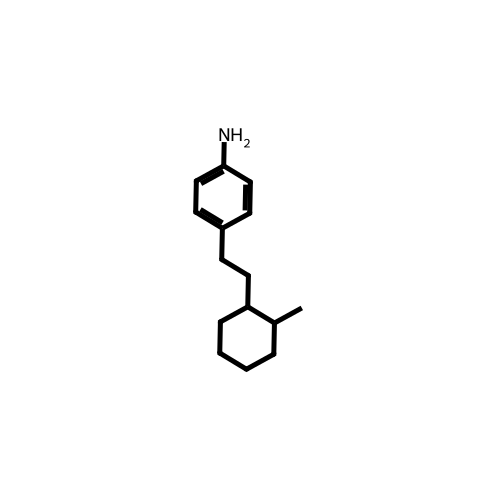 CC1CCCCC1CCc1ccc(N)cc1